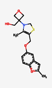 CC1=C(COc2ccc3oc(C)cc3c2)SCN1C1(CO)COC1